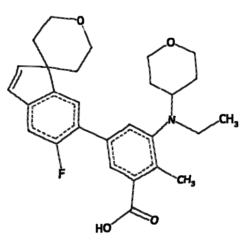 CCN(c1cc(-c2cc3c(cc2F)C=CC32CCOCC2)cc(C(=O)O)c1C)C1CCOCC1